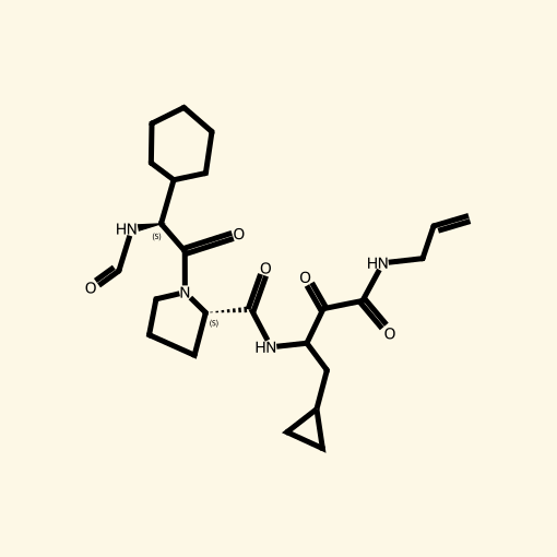 C=CCNC(=O)C(=O)C(CC1CC1)NC(=O)[C@@H]1CCCN1C(=O)[C@@H](NC=O)C1CCCCC1